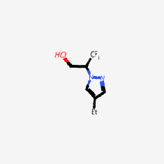 CCc1cnn(C(CO)C(F)(F)F)c1